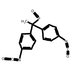 CC(P=O)(c1ccc(N=C=O)cc1)c1ccc(N=C=O)cc1